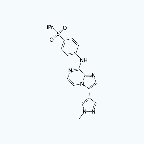 CC(C)S(=O)(=O)c1ccc(Nc2nccn3c(-c4cnn(C)c4)cnc23)cc1